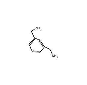 NCc1cccc(CN)n1